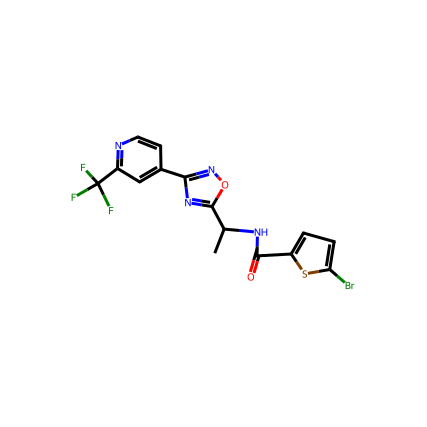 CC(NC(=O)c1ccc(Br)s1)c1nc(-c2ccnc(C(F)(F)F)c2)no1